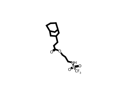 O=C(CCC1CC2CCCC(C2)C1)OCCCNS(=O)(=O)C(F)(F)F